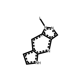 In1ncc2nc3[nH]ccc3cc21